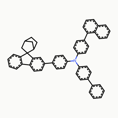 c1ccc(-c2ccc(N(c3ccc(-c4ccc5c(c4)C4(CC6CCC4C6)c4ccccc4-5)cc3)c3ccc(-c4cccc5ccccc45)cc3)cc2)cc1